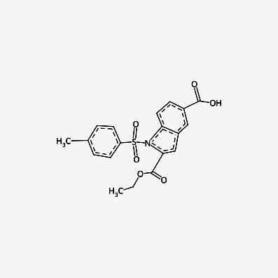 CCOC(=O)c1cc2cc(C(=O)O)ccc2n1S(=O)(=O)c1ccc(C)cc1